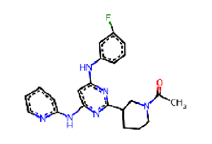 CC(=O)N1CCCC(c2nc(Nc3cccc(F)c3)cc(Nc3ccccn3)n2)C1